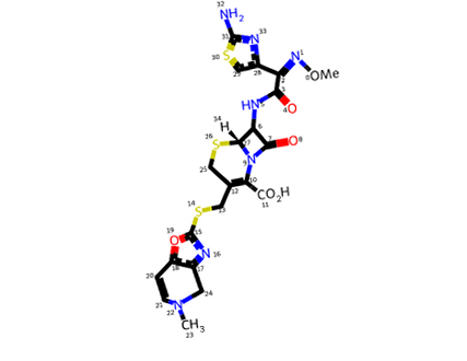 CO/N=C(\C(=O)NC1C(=O)N2C(C(=O)O)=C(CSc3nc4c(o3)C=CN(C)C4)CS[C@H]12)c1csc(N)n1